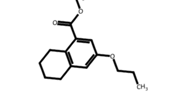 CCCOc1cc2c(c(C(=O)OC)c1)CCCC2